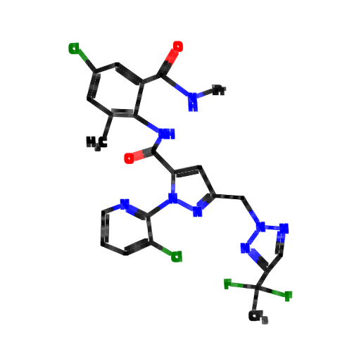 Cc1cc(Cl)cc(C(=O)NC(C)C)c1NC(=O)c1cc(Cn2ncc(C(F)(F)C(F)(F)F)n2)nn1-c1ncccc1Cl